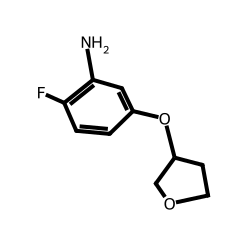 Nc1cc(OC2CCOC2)ccc1F